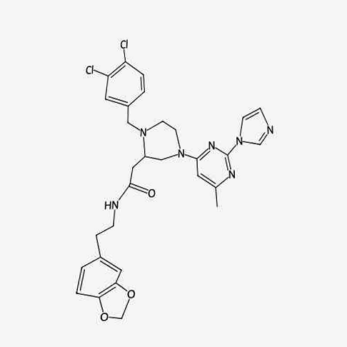 Cc1cc(N2CCN(Cc3ccc(Cl)c(Cl)c3)C(CC(=O)NCCc3ccc4c(c3)OCO4)C2)nc(-n2ccnc2)n1